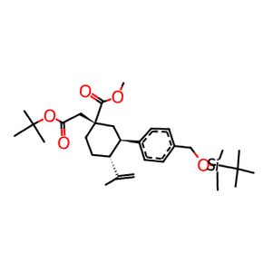 C=C(C)[C@@H]1CC[C@](CC(=O)OC(C)(C)C)(C(=O)OC)C[C@H]1c1ccc(CO[Si](C)(C)C(C)(C)C)cc1